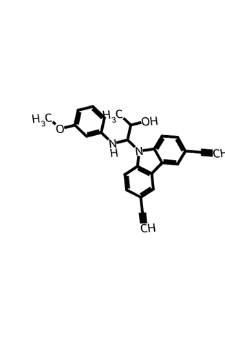 C#Cc1ccc2c(c1)c1cc(C#C)ccc1n2C(Nc1cccc(OC)c1)C(C)O